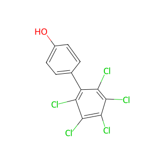 Oc1ccc(-c2c(Cl)c(Cl)c(Cl)c(Cl)c2Cl)cc1